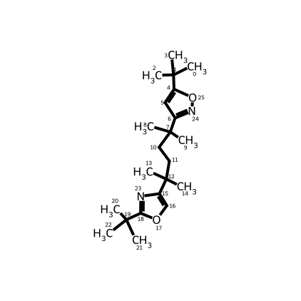 CC(C)(C)c1cc(C(C)(C)CCC(C)(C)c2coc(C(C)(C)C)n2)no1